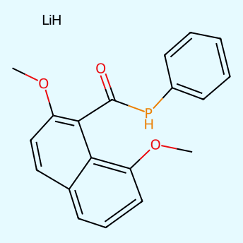 COc1ccc2cccc(OC)c2c1C(=O)Pc1ccccc1.[LiH]